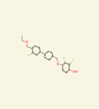 CCOCc1ccc(-c2ccc(COc3ccc(O)c(F)c3F)cc2)cc1F